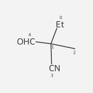 CCC(C)(C#N)C=O